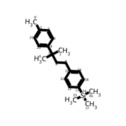 Cc1ccc(C(C)(C)CCc2ccc([Si](C)(C)C)cc2)cc1